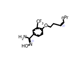 CCC/C=C\CCOc1ccc(/C(N)=N/O)cc1C(F)(F)F